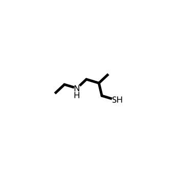 CCNCC(C)CS